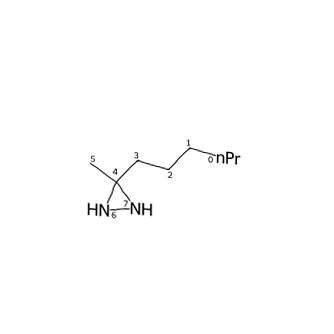 CCCCCCC1(C)NN1